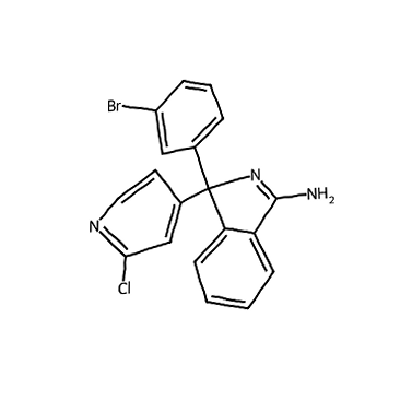 NC1=NC(c2cccc(Br)c2)(c2ccnc(Cl)c2)c2ccccc21